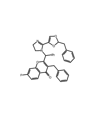 CC(C)C(c1oc2cc(F)ccc2c(=O)c1Cc1ccccc1)N1CCN=C1C1=COC(Cc2ccccc2)O1